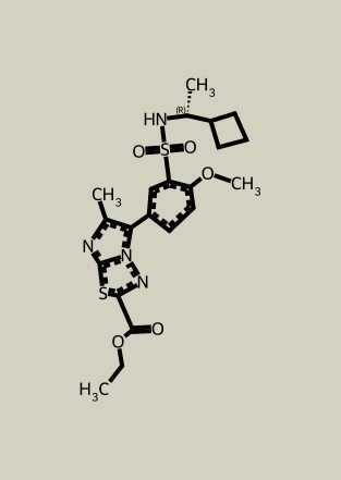 CCOC(=O)c1nn2c(-c3ccc(OC)c(S(=O)(=O)N[C@H](C)C4CCC4)c3)c(C)nc2s1